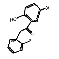 O=C(Cc1ccccc1F)c1cc(O)ccc1O